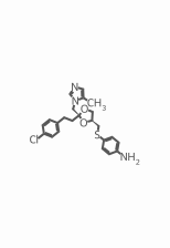 Cc1cncn1C[C@@]1(CCc2ccc(Cl)cc2)OC[C@@H](CSc2ccc(N)cc2)O1